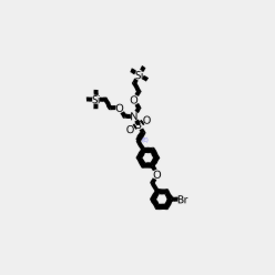 C[Si](C)(C)CCOCN(COCC[Si](C)(C)C)S(=O)(=O)/C=C/c1ccc(OCc2cccc(Br)c2)cc1